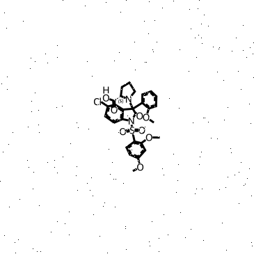 COc1ccc(S(=O)(=O)N2C(=O)C(c3ccccc3OC)(N3CCC[C@H]3C(=O)O)c3cc(Cl)ccc32)c(OC)c1